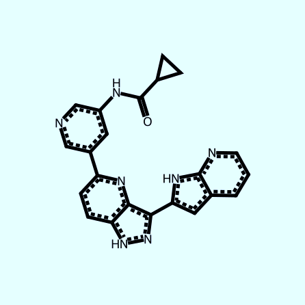 O=C(Nc1cncc(-c2ccc3[nH]nc(-c4cc5cccnc5[nH]4)c3n2)c1)C1CC1